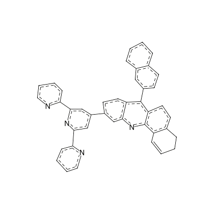 C1=Cc2c(ccc3c(-c4ccc5ccccc5c4)c4ccc(-c5cc(-c6ccccn6)nc(-c6ccccn6)c5)cc4nc23)CC1